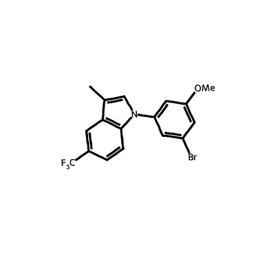 COc1cc(Br)cc(-n2cc(C)c3cc(C(F)(F)F)ccc32)c1